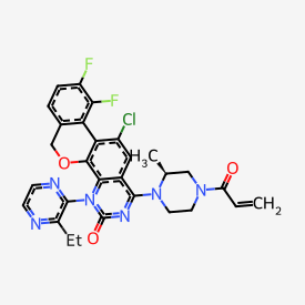 C=CC(=O)N1CCN(c2nc(=O)n(-c3nccnc3CC)c3c4c(c(Cl)cc23)-c2c(ccc(F)c2F)CO4)[C@@H](C)C1